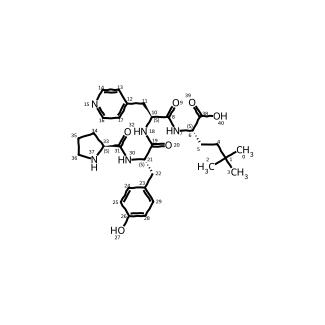 CC(C)(C)CC[C@H](NC(=O)[C@H](Cc1ccncc1)NC(=O)[C@H](Cc1ccc(O)cc1)NC(=O)[C@@H]1CCCN1)C(=O)O